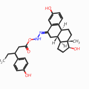 C[C@]12CC[C@@H]3c4ccc(O)cc4/C(=N/NOC(=O)CC(CC(=O)O)c4ccc(O)cc4)C[C@H]3[C@@H]1CC[C@@H]2O